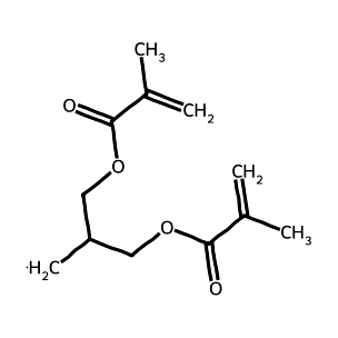 [CH2]C(COC(=O)C(=C)C)COC(=O)C(=C)C